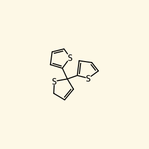 C1=CC(c2cccs2)(c2cccs2)SC1